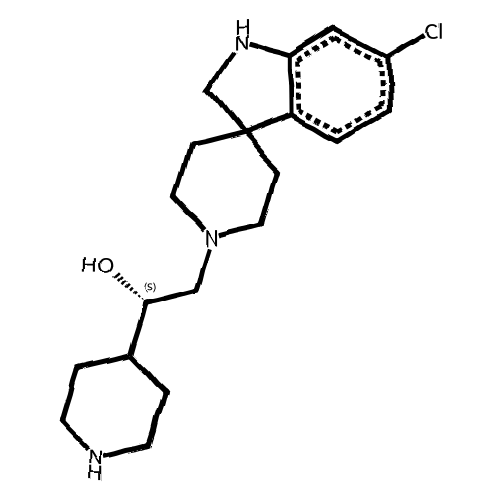 O[C@H](CN1CCC2(CC1)CNc1cc(Cl)ccc12)C1CCNCC1